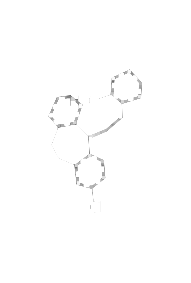 Cc1ccccc1C=C=C1c2ccccc2CCc2cc(Cl)ccc21